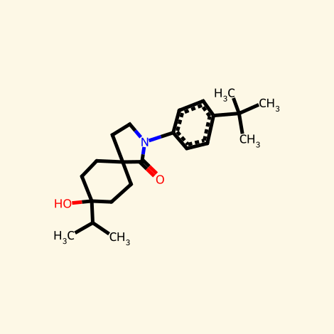 CC(C)C1(O)CCC2(CCN(c3ccc(C(C)(C)C)cc3)C2=O)CC1